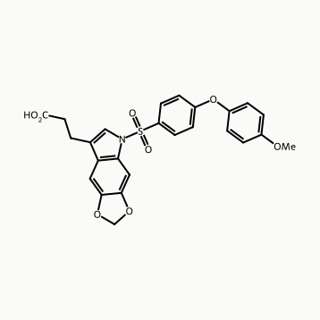 COc1ccc(Oc2ccc(S(=O)(=O)n3cc(CCC(=O)O)c4cc5c(cc43)OCO5)cc2)cc1